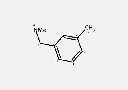 CNCc1[c]c(C)ccc1